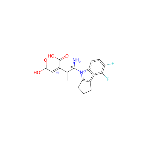 CC(/C(=C/C(=O)O)C(=O)O)[C@@H](N)n1c2c(c3c(F)c(F)ccc31)CCC2